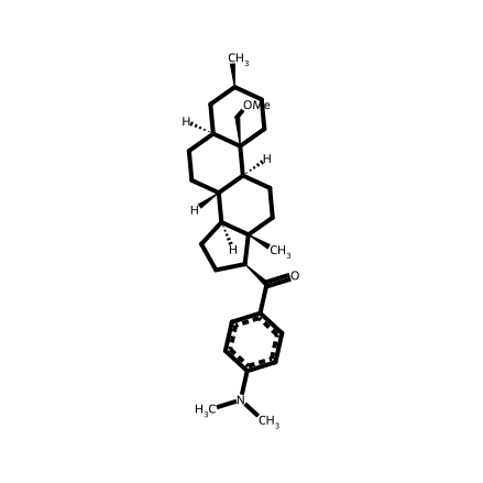 COC[C@]12CC[C@H](C)C[C@@H]1CC[C@H]1[C@@H]3CC[C@H](C(=O)c4ccc(N(C)C)cc4)[C@@]3(C)CC[C@@H]12